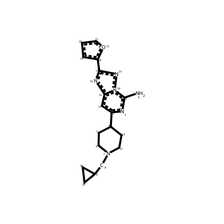 Nc1nc(C2CCN(CC3CC3)CC2)cc2nc(-c3ccco3)nn12